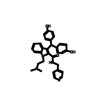 CN(C)CCn1c(C(=O)NCc2ccncc2)c(C(c2ccc(O)cc2)c2ccc(O)cc2)c2ccccc21